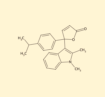 Cc1c(C2(c3ccc(C(C)C)cc3)C=CC(=O)O2)c2ccccc2n1C